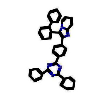 c1ccc(-c2nc(-c3ccccc3)nc(-c3ccc(-c4nc5ccccn5c4-c4ccccc4-c4ccccc4)cc3)n2)cc1